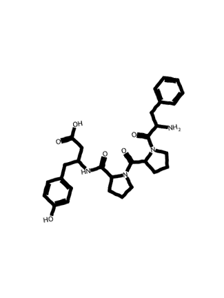 NC(Cc1ccccc1)C(=O)N1CCCC1C(=O)N1CCCC1C(=O)NC(CC(=O)O)Cc1ccc(O)cc1